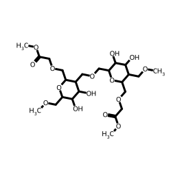 COCC1OC(COCC(=O)OC)C(COCC2OC(COCC(=O)OC)C(COC)C(O)C2O)C(O)C1O